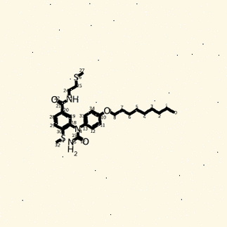 CCCCCCCCCOc1ccc(N(C(N)=O)c2cc(C(=O)NCCSC)ccc2SC)cc1